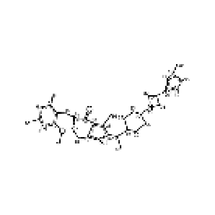 COc1nc(C)cc(C)c1CN1CCc2sc(C(C)C3CCC(N4CC(n5cc(C)cn5)C4)CC3)c(C)c2C1=O